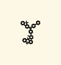 Cc1c(-c2ccc(N(c3ccc(-c4ccccc4)cc3)c3ccc4c(c3)C(C)(C)c3ccccc3-4)cc2)cccc1C1(C)c2ccccc2Oc2ccccc21